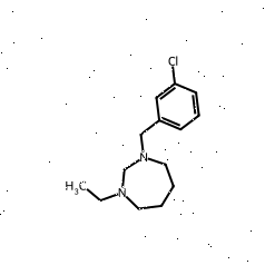 CCN1CCCCN(Cc2cccc(Cl)c2)C1